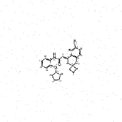 O=C(C=C1CC2(CCC2)Oc2ccc(Cl)cc21)Nc1ccccc1OC1CCCC1